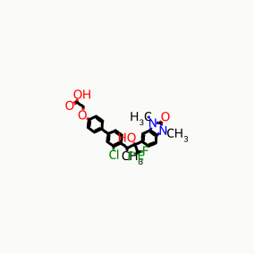 CC(c1ccc(-c2ccc(OCC(=O)O)cc2)cc1Cl)C(O)(c1ccc2c(c1)n(C)c(=O)n2C)C(F)(F)F